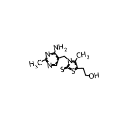 Cc1ncc(Cn2c(C)c(CCO)sc2=S)c(N)n1